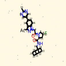 CC(=O)c1nn(CC(=O)N2C[C@H](F)C[C@H]2C(=O)NCC23C4C5C6C4C2C6C53)c2ccc(-c3cnc(C)nc3)cc12